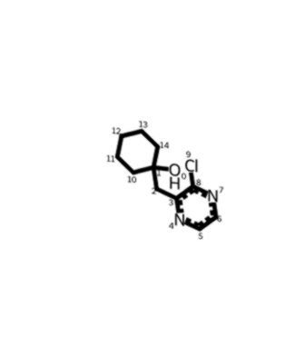 OC1(Cc2nccnc2Cl)CCCCC1